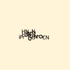 CC(C)CCC1(c2ccccc2)NC(=N)N(Cc2cc(C(=O)N(C)Cc3ccc(C#N)cc3)ccn2)C1=O